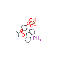 C=C(C)C(=O)OC(c1ccccc1)(c1ccccc1)c1ccccc1.O=S(O)(O)=S.P